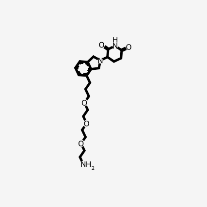 NCCOCCOCCOCCCc1cccc2c1CN(C1CCC(=O)NC1=O)C2